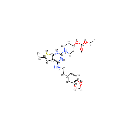 CCOC(=O)OC1CCN(c2nc(NCCc3ccc4c(c3)OCO4)c3cc(CC)sc3n2)CC1